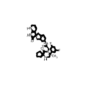 C[C@]1(c2cc(F)cc(F)c2)CNC2(CCCC2)C(=O)N1CC(=O)Nc1ccc2c(c1)C[C@@]1(C2)C(=O)NC2=C1C=CCN2